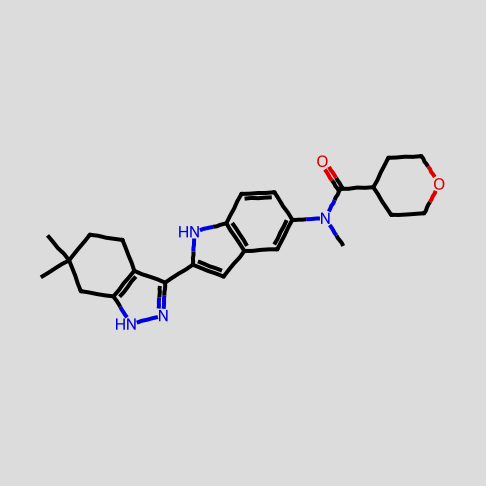 CN(C(=O)C1CCOCC1)c1ccc2[nH]c(-c3n[nH]c4c3CCC(C)(C)C4)cc2c1